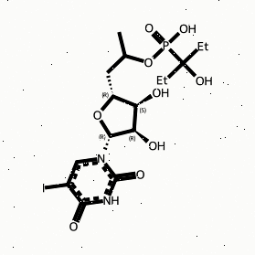 CCC(O)(CC)P(=O)(O)OC(C)C[C@H]1O[C@@H](n2cc(I)c(=O)[nH]c2=O)[C@H](O)[C@@H]1O